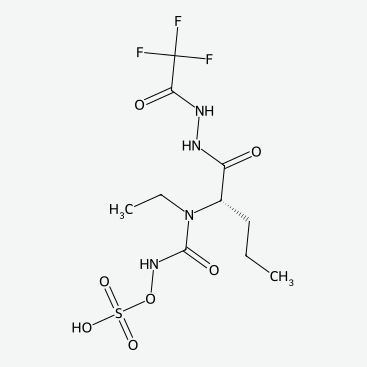 CCC[C@@H](C(=O)NNC(=O)C(F)(F)F)N(CC)C(=O)NOS(=O)(=O)O